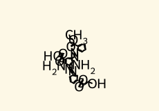 CCOC(=O)c1ccccc1/N=N/c1cc(S(=O)(=O)O)c(N)c(/N=N/c2cccc(S(=O)(=O)CCO)c2)c1N